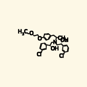 CCOCCOc1ccc(C[C@@H](C)N(C[C@H](O)c2cccc(Cl)c2)C[C@H](O)c2cccc(Cl)c2)cc1